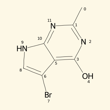 Cc1nc(O)c2c(Br)c[nH]c2n1